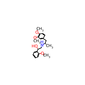 COc1ccc(C[C@@H](C)NC[C@H](O)c2ccccc2OC)cc1OC